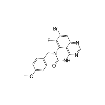 COc1ccc(CN2C(=O)Nc3ncnc4cc(Br)c(F)c2c34)cc1